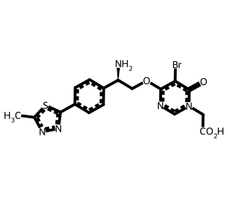 Cc1nnc(-c2ccc([C@@H](N)COc3ncn(CC(=O)O)c(=O)c3Br)cc2)s1